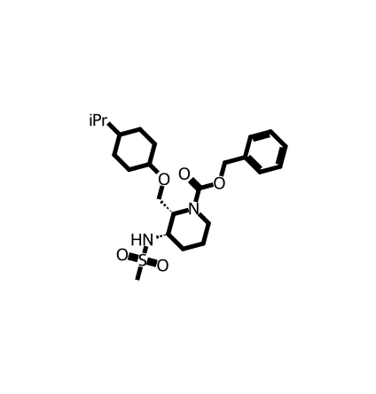 CC(C)C1CCC(OC[C@H]2[C@@H](NS(C)(=O)=O)CCCN2C(=O)OCc2ccccc2)CC1